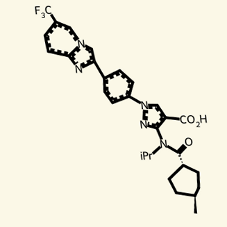 CC(C)N(c1nn(-c2ccc(-c3cn4cc(C(F)(F)F)ccc4n3)cc2)cc1C(=O)O)C(=O)[C@H]1CC[C@H](C)CC1